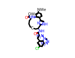 CNc1ccc2c(c1)N[C@H](C(=O)OC)CCCCC[C@H](NC(=O)/C=C/c1cc(Cl)ccc1N(N)/C=N\N)c1nc-2c[nH]1